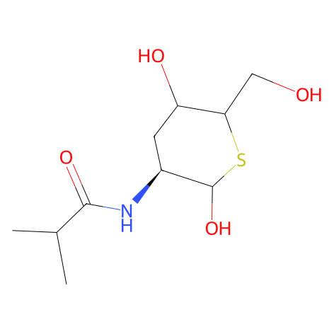 CC(C)C(=O)N[C@H]1CC(O)C(CO)SC1O